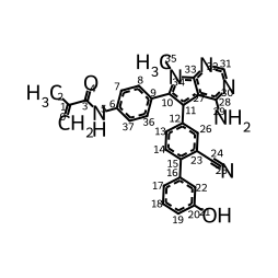 C=C(C)C(=O)Nc1ccc(-c2c(-c3ccc(-c4cccc(O)c4)c(C#N)c3)c3c(N)ncnc3n2C)cc1